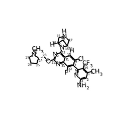 Cc1cc(N)nc(-c2c(Cl)cc3c(N4[C@@H]5CNC[C@@H]4C5)nc(OC[C@@H]4CCCN4C)nc3c2F)c1C(F)(F)F